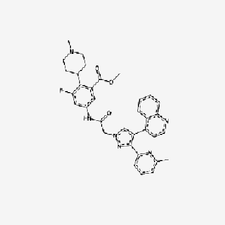 COC(=O)c1cc(NC(=O)Cn2cc(-c3ccnc4ccccc34)c(-c3cccc(C)n3)n2)cc(F)c1C1CCN(C)CC1